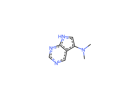 CN(C)c1c[nH]c2ncncc12